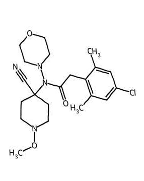 CON1CCC(C#N)(N(C(=O)Cc2c(C)cc(Cl)cc2C)N2CCOCC2)CC1